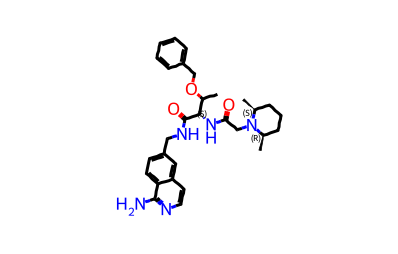 CC(OCc1ccccc1)[C@H](NC(=O)CN1[C@H](C)CCC[C@@H]1C)C(=O)NCc1ccc2c(N)nccc2c1